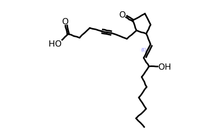 CCCCCCC(O)/C=C/C1CCC(=O)C1CC#CCCC(=O)O